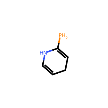 PC1=CCC=CN1